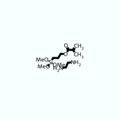 C=C(C)C(=O)OCCC[Si](OC)(OC)OC.NCCN